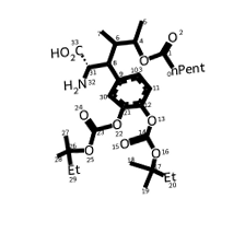 CCCCCC(=O)OC(C)C(C)C(c1ccc(OC(=O)OC(C)(C)CC)c(OC(=O)OC(C)(C)CC)c1)[C@H](N)C(=O)O